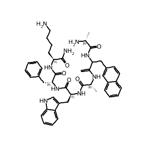 C=C(N[C@H](C)C(=O)N[C@@H](Cc1c[nH]c2ccccc12)C(=O)N[C@H](Cc1ccccc1)C(=O)N[C@@H](CCCCN)C(N)=O)C(Cc1ccc2ccccc2c1)NC(=O)[C@@H](C)N